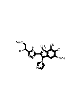 COC[C@H](O)c1nnc(-c2c(-n3ccnc3)c3cc(OC)c(Cl)c(C#N)c3n2C)[nH]1